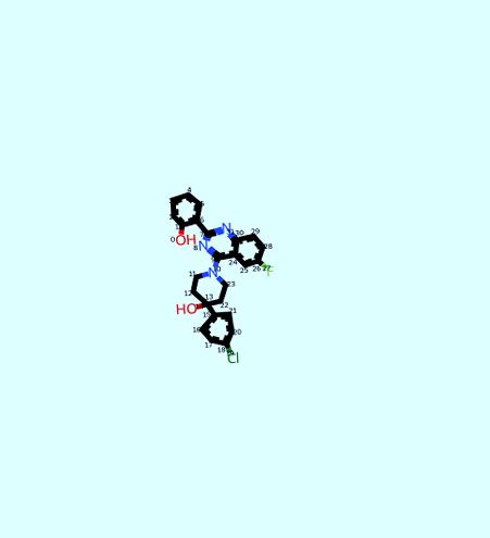 Oc1ccccc1-c1nc(N2CCC(O)(c3ccc(Cl)cc3)CC2)c2cc(F)ccc2n1